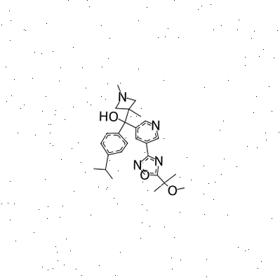 COC(C)(C)c1nc(-c2cncc(C(O)(c3ccc(C(C)C)cc3)C3(C)CN(C)C3)c2)no1